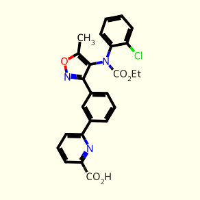 CCOC(=O)N(c1ccccc1Cl)c1c(-c2cccc(-c3cccc(C(=O)O)n3)c2)noc1C